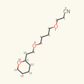 N#CCCOCCCCOCCC1CCCCO1